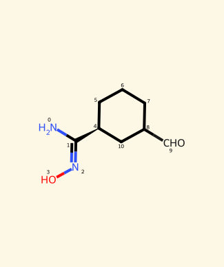 N/C(=N\O)[C@H]1CCCC(C=O)C1